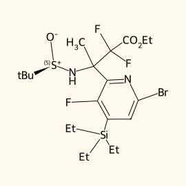 CCOC(=O)C(F)(F)C(C)(N[S@+]([O-])C(C)(C)C)c1nc(Br)cc([Si](CC)(CC)CC)c1F